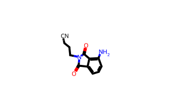 N#CCCCN1C(=O)c2cccc(N)c2C1=O